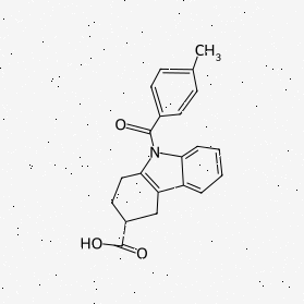 Cc1ccc(C(=O)n2c3c(c4ccccc42)CC(C(=O)O)CC3)cc1